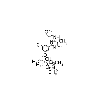 [CH2]C(COc1cc(Cl)cc(-c2nc(Cl)c(C)c(NC3CCOCC3)n2)c1)C(C)(C)C(O[SiH2]C)O[SiH2]C